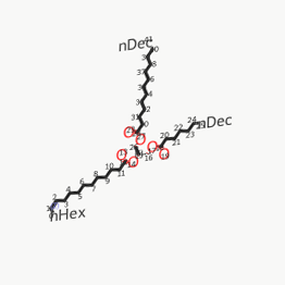 CCCCCC/C=C\CCCCCCCCCC(=O)O[C@@H](COC(=O)CCCCCCCCCCCCCCC)COC(=O)CCCCCCCCCCCCCCCCCCCCC